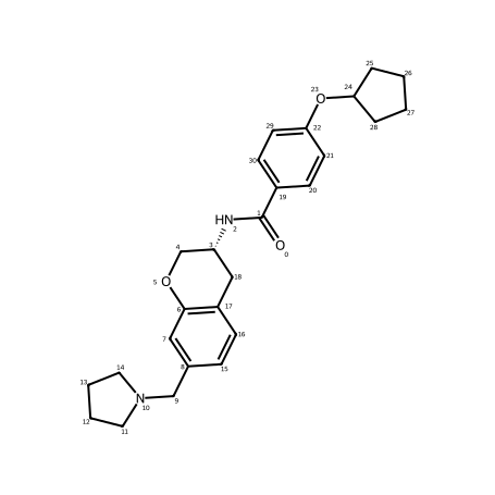 O=C(N[C@H]1COc2cc(CN3CCCC3)ccc2C1)c1ccc(OC2CCCC2)cc1